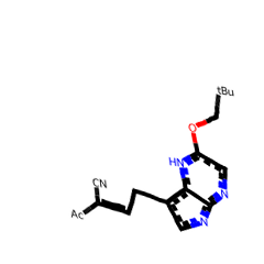 CC(=O)C(C#N)=CCc1cnc2ncc(OCC(C)(C)C)[nH]c1-2